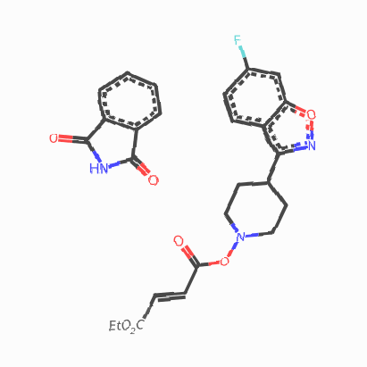 CCOC(=O)/C=C/C(=O)ON1CCC(c2noc3cc(F)ccc23)CC1.O=C1NC(=O)c2ccccc21